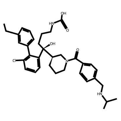 CCc1cccc(-c2c(Cl)cccc2[C@](O)(CCCNC(=O)O)[C@@H]2CCCN(C(=O)c3ccc(CNC(C)C)cc3)C2)c1